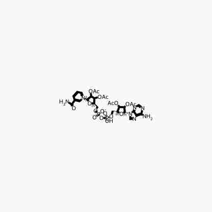 CC(=O)OC1C(OC(C)=O)[C@@H](COP(=O)(O)OP(=O)([O-])OC[C@H]2O[C@@H]([n+]3cccc(C(N)=O)c3)C(OC(C)=O)C2OC(C)=O)O[C@H]1n1cnc2c(N)ncnc21